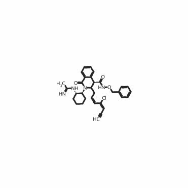 C#C/C=C(Cl)\C=C/CC1[C@H](C(=O)NOCc2ccccc2)c2ccccc2C(=O)N1[C@H]1CCCC[C@@H]1NC(C)=N